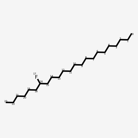 CCCCCCCCCCCCCCCCC(F)CCCCCC